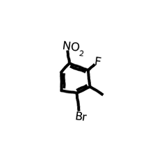 Cc1c(Br)ccc([N+](=O)[O-])c1F